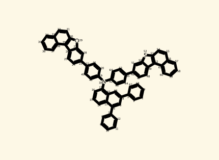 c1ccc(-c2cc(-c3ccccc3)c3cccc(N(c4ccc(-c5ccc6c(c5)oc5ccc7ccccc7c56)cc4)c4ccc(-c5ccc6c(c5)sc5ccc7ccccc7c56)cc4)c3c2)cc1